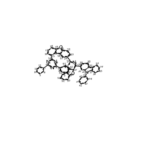 c1ccc(-c2nc(-c3ccccc3)nc(-c3cccc4oc5ccc(-c6nc(-c7ccc8c9ccccc9n(-c9ccccc9)c8c7)c7oc8ccccc8c7n6)cc5c34)n2)cc1